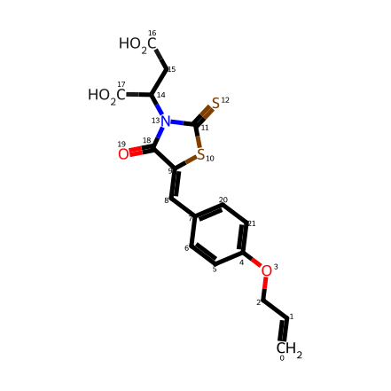 C=CCOc1ccc(/C=C2\SC(=S)N(C(CC(=O)O)C(=O)O)C2=O)cc1